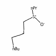 CCCCCCC[S+]([O-])CCC